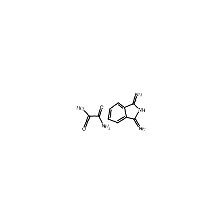 N=C1NC(=N)c2ccccc21.NC(=O)C(=O)O